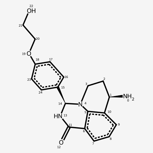 N[C@@H]1CCN2c3c(cccc31)C(=O)N[C@H]2c1ccc(OCCO)cc1